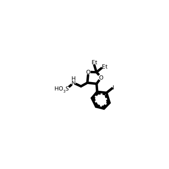 CCC1(CC)OC(CNS(=O)(=O)O)C(c2ccccc2I)O1